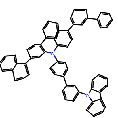 c1ccc(-c2cccc(-c3ccc(N(c4ccc(-c5cccc(-n6c7ccccc7c7ccccc76)c5)cc4)c4cc(-c5cccc6ccccc56)ccc4-c4ccccc4)cc3)c2)cc1